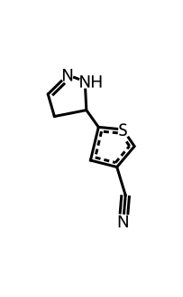 N#Cc1csc(C2CC=NN2)c1